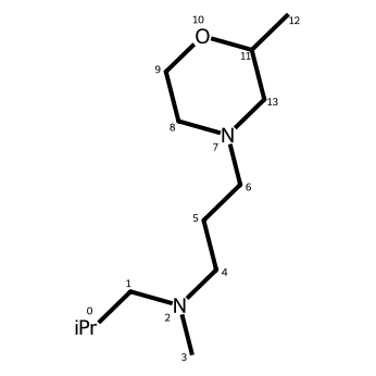 CC(C)CN(C)CCCN1CCOC(C)C1